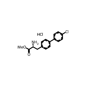 COC(=O)[C@@H](N)Cc1ccc(-c2ccc(Cl)cc2)cc1.Cl